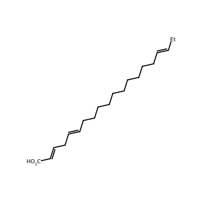 CC/C=C/CCCCCCCCCC/C=C/C/C=C/C(=O)O